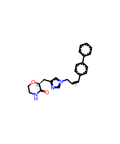 O=C1NCCO[C@H]1Cc1cn(C/C=C\c2ccc(-c3ccccc3)cc2)cn1